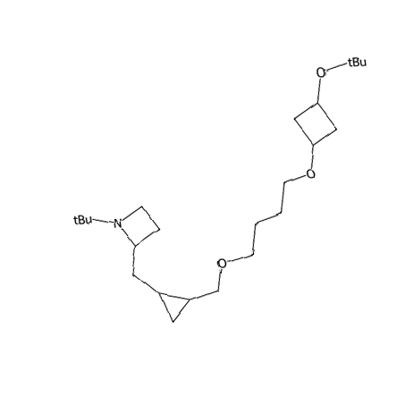 CC(C)(C)OC1CC(OCCCCOCC2CC2CC2CCN2C(C)(C)C)C1